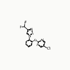 FC(F)c1cn(-c2ccccc2Oc2ncc(Cl)cn2)nn1